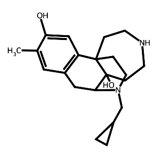 Cc1cc2c(cc1O)C13CCNCCC1(O)C(C2)N(CC1CC1)CC3